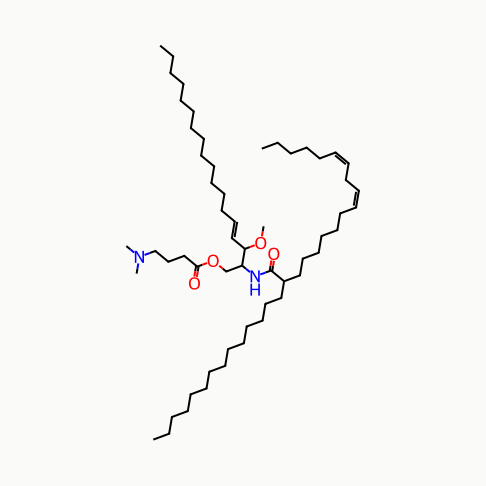 CCCCC/C=C\C/C=C\CCCCCCC(CCCCCCCCCCCCCC)C(=O)NC(COC(=O)CCCN(C)C)C(/C=C/CCCCCCCCCCCCC)OC